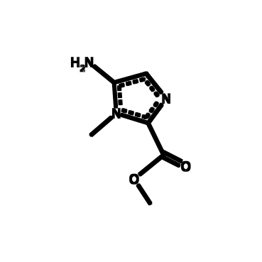 COC(=O)c1ncc(N)n1C